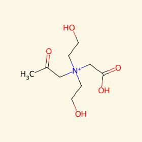 CC(=O)C[N+](CCO)(CCO)CC(=O)O